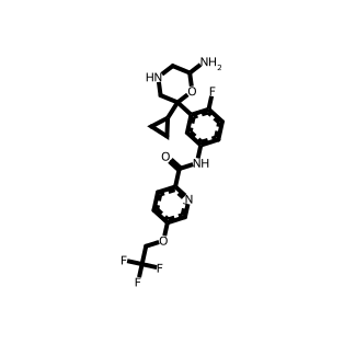 NC1CNCC(c2cc(NC(=O)c3ccc(OCC(F)(F)F)cn3)ccc2F)(C2CC2)O1